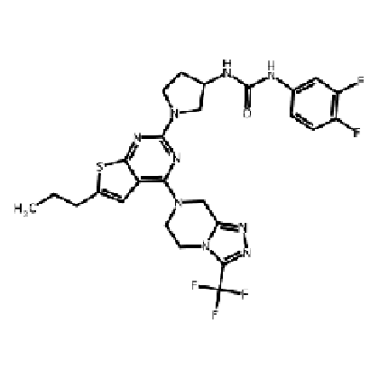 CCCc1cc2c(N3CCn4c(nnc4C(F)(F)F)C3)nc(N3CCC(NC(=O)Nc4ccc(F)c(F)c4)C3)nc2s1